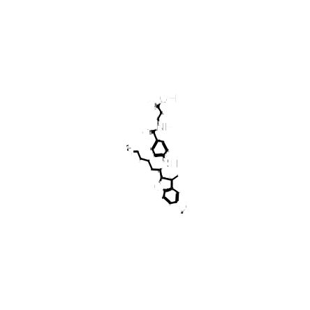 COc1ccc2c(c1)C(C)C(C(CCCCSC)Nc1ccc(C(=O)NCCC(=O)O)cc1)O2